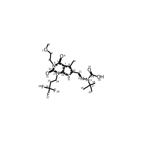 COCCn1c(=O)c2c(C)c(C=NN(C(=O)O)C(C)(C)C)sc2n(CCC(F)(F)F)c1=O